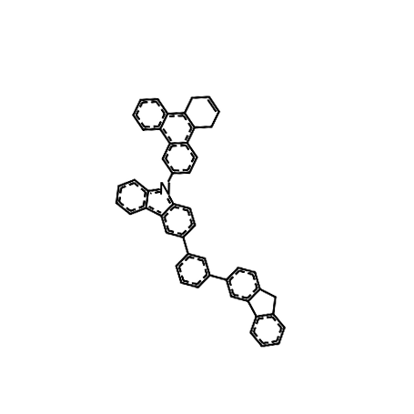 C1=CCc2c(c3ccccc3c3cc(-n4c5ccccc5c5cc(-c6cccc(-c7ccc8c(c7)-c7ccccc7C8)c6)ccc54)ccc23)C1